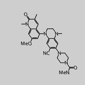 CNC(=O)N1CCN(c2cc3c(cc2C#N)N(c2cc(OC)cc4c2cc(C)c(=O)n4C)CCN3C)CC1